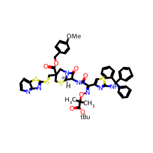 COc1ccc(COC(=O)C2(CSc3nc4ncccc4s3)CS[C@@H]3C(NC(=O)C(=NOC(C)(C)C(=O)OC(C)(C)C)c4csc(NC(c5ccccc5)(c5ccccc5)c5ccccc5)n4)C(=O)N3C2)cc1